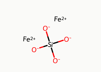 [Fe+2].[Fe+2].[O-][Si]([O-])([O-])[O-]